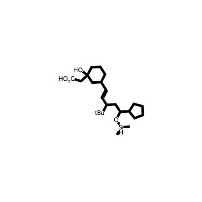 C[SiH](C)OC(CC(C=CC1CCCC(O)(CC(=O)O)C1)C(C)(C)C)C1CCCC1